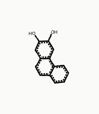 Oc1cc2ccc3ccccc3c2cc1O